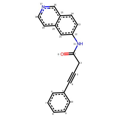 O=C(CC#Cc1ccccc1)Nc1ccc2cnccc2c1